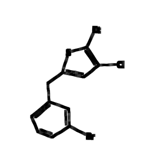 CCc1sc(Cc2cccc(Br)c2)cc1Cl